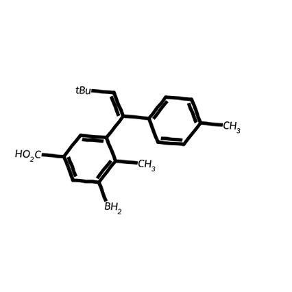 Bc1cc(C(=O)O)cc(/C(=C\C(C)(C)C)c2ccc(C)cc2)c1C